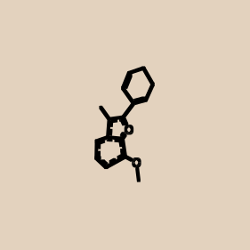 COc1cccc2c(C)c(C3=CCCC=C3)oc12